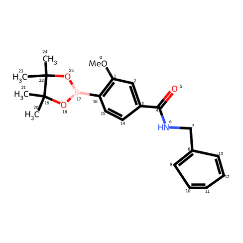 COc1cc(C(=O)NCc2ccccc2)ccc1B1OC(C)(C)C(C)(C)O1